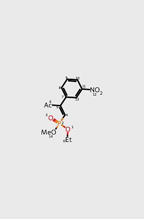 CCOP(=O)(C=C(C(C)=O)c1cccc([N+](=O)[O-])c1)OC